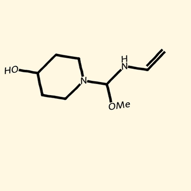 C=CNC(OC)N1CCC(O)CC1